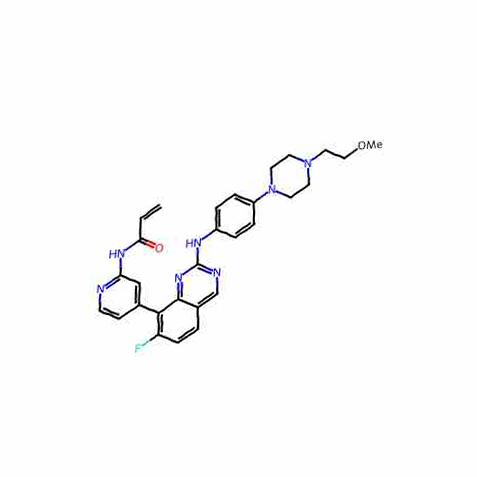 C=CC(=O)Nc1cc(-c2c(F)ccc3cnc(Nc4ccc(N5CCN(CCOC)CC5)cc4)nc23)ccn1